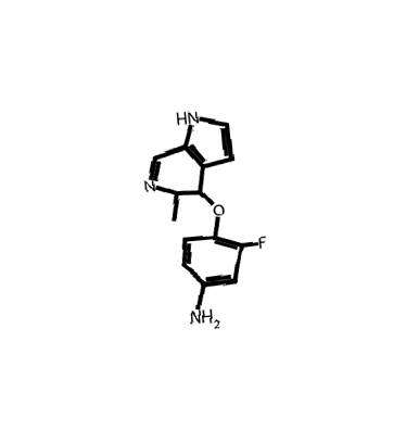 CC1N=Cc2[nH]ccc2C1Oc1ccc(N)cc1F